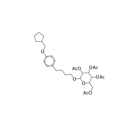 CC(=O)OCC1OC(OCCCCc2ccc(OCC3CCCC3)cc2)C(OC(C)=O)C(OC(C)=O)C1OC(C)=O